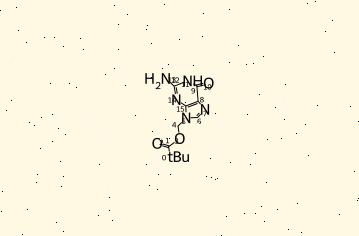 CC(C)(C)C(=O)OCn1cnc2c(=O)[nH]c(N)nc21